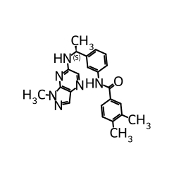 Cc1ccc(C(=O)Nc2cccc([C@H](C)Nc3cnc4cnn(C)c4n3)c2)cc1C